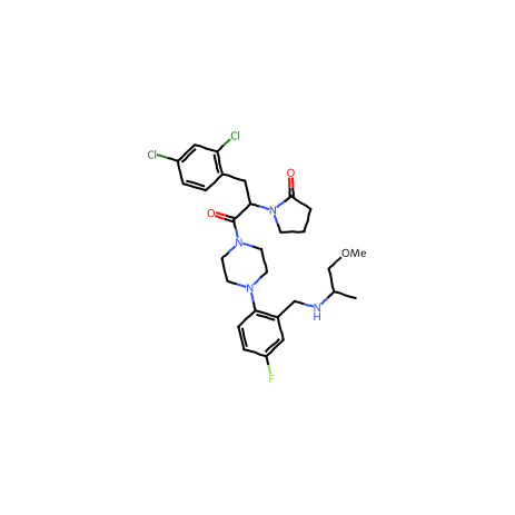 COCC(C)NCc1cc(F)ccc1N1CCN(C(=O)C(Cc2ccc(Cl)cc2Cl)N2CCCC2=O)CC1